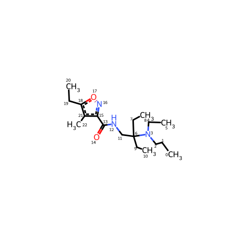 CCCN(CC)C(CC)(CC)CNC(=O)c1noc(CC)c1C